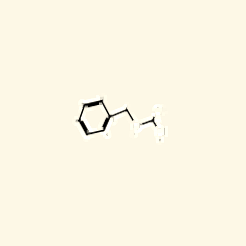 ClC(Cl)OCc1ccccc1